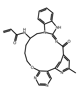 C=CC(=O)NC1CCCOc2ncncc2-c2cc(cc(C)n2)C(=O)/N=C2\Nc3ccccc3N2C1